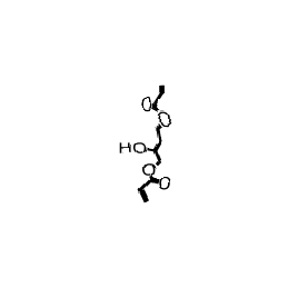 C=CC(=O)OCCC(O)COC(=O)C=C